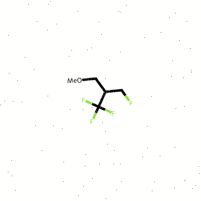 COCC(CF)C(F)(F)F